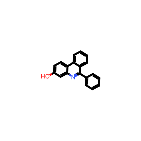 Oc1ccc2c(c1)nc(-c1ccccc1)c1ccccc12